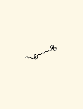 CCCCCC1CCC(CCCCCCCCC(=O)OC)S1